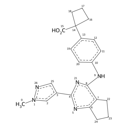 Cn1cc(-c2nc3c(c(Nc4ccc(C5(C(=O)O)CCC5)cc4)n2)CCC3)cn1